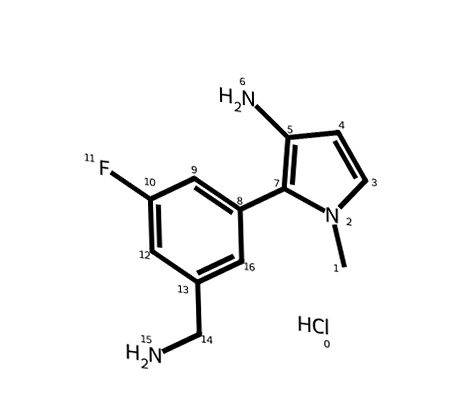 Cl.Cn1ccc(N)c1-c1cc(F)cc(CN)c1